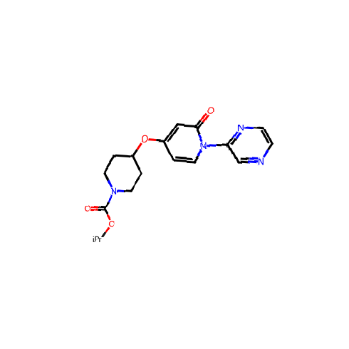 CC(C)OC(=O)N1CCC(Oc2ccn(-c3cnccn3)c(=O)c2)CC1